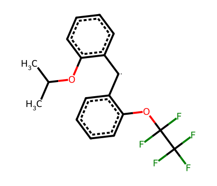 CC(C)Oc1ccccc1[CH]c1ccccc1OC(F)(F)C(F)(F)F